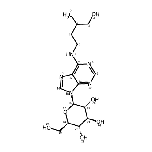 CC(CO)CCNc1ncnc2c1ncn2[C@@H]1O[C@H](CO)[C@@H](O)[C@H](O)[C@H]1O